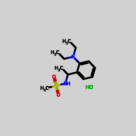 CCN(CC)c1ccccc1C(C)NS(C)(=O)=O.Cl